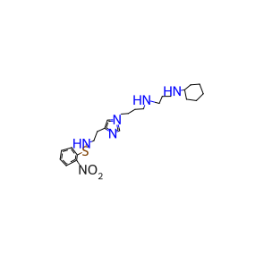 O=[N+]([O-])c1ccccc1SNCCc1cn(CCCCNCCCNC2CCCCC2)cn1